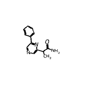 CC(C(N)=O)c1cncc(-c2ccccc2)n1